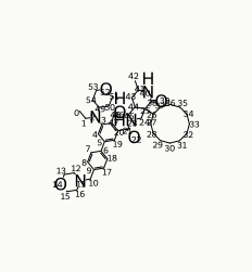 CCN(c1cc(-c2ccc(CN3CCOCC3)cc2)cc(C(=O)NCC2(C3CCCCCCCCCCC3)C(=O)NC(C)CC2CO)c1C)C1CCOCC1